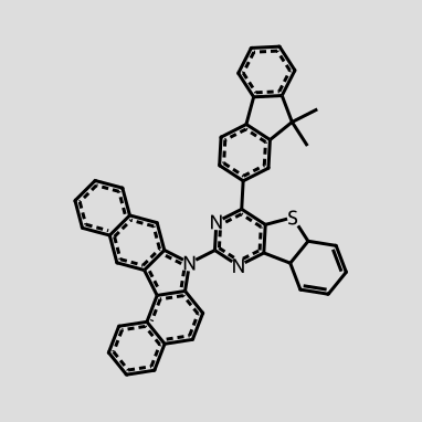 CC1(C)c2ccccc2-c2ccc(-c3nc(-n4c5cc6ccccc6cc5c5c6ccccc6ccc54)nc4c3SC3C=CC=CC43)cc21